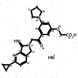 Br.N=C1c2nc(C3CC3)ccc2CN1CC(=O)c1cc(OCC(=O)O)cc(N2CCCC2)c1